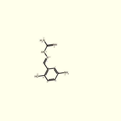 N=C(N)N/N=C/c1cc(N)ccc1O